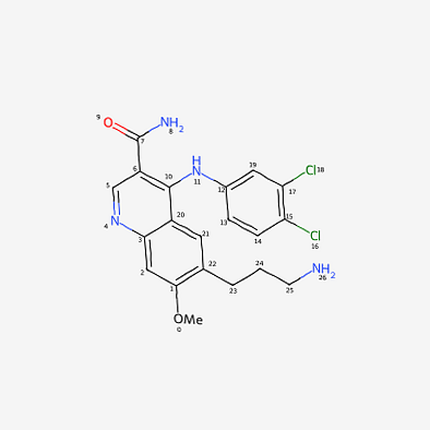 COc1cc2ncc(C(N)=O)c(Nc3ccc(Cl)c(Cl)c3)c2cc1CCCN